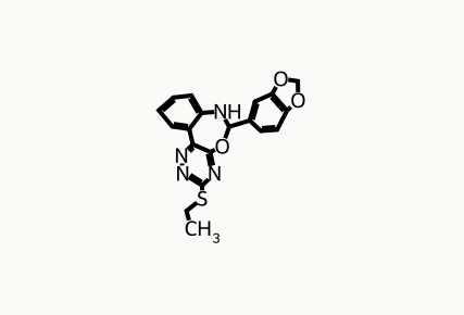 CCSc1nnc2c(n1)OC(c1ccc3c(c1)OCO3)Nc1ccccc1-2